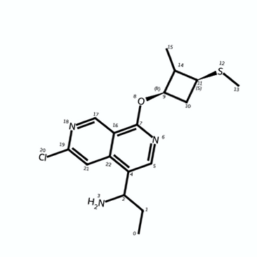 CCC(N)c1cnc(O[C@@H]2C[C@H](SC)C2C)c2cnc(Cl)cc12